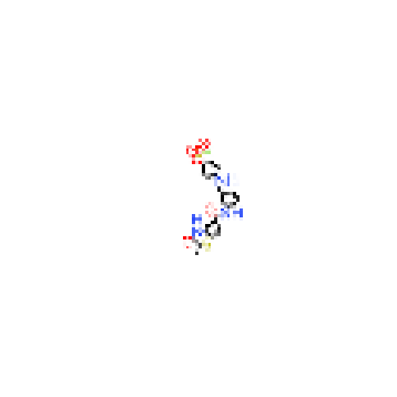 CC1Sc2ccc(C(=O)Nc3cccc(CNc4ccc(OS(=O)(=O)F)cc4)c3)cc2NC1=O